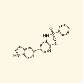 O=S(=O)(Nc1cc(-c2ccc3[nH]ccc3c2)cnc1Cl)c1ccccc1